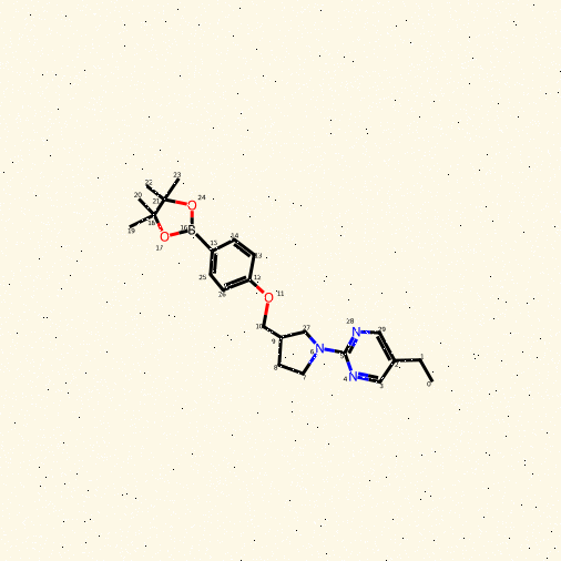 CCc1cnc(N2CCC(COc3ccc(B4OC(C)(C)C(C)(C)O4)cc3)C2)nc1